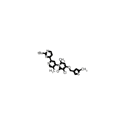 Cc1cc(COc2cc(C)n(-c3cc(-c4ccnc(C(C)(C)C)n4)ncc3C)c(=O)c2Cl)cs1